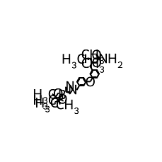 CC(C)(C)CC(Cc1cccc(Oc2cccc(Cn3cc(B4OC(C)(C)C(C)(C)O4)cn3)c2)c1)OC(N)=O